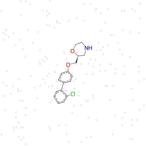 Clc1ccccc1-c1ccc(OC[C@@H]2CNCCO2)cc1